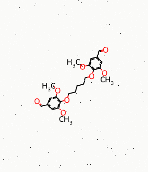 COc1cc(C=O)cc(OC)c1OCCCCCOc1c(OC)cc(C=O)cc1OC